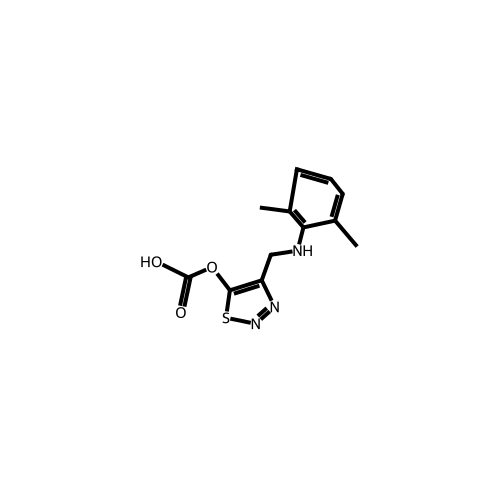 Cc1cccc(C)c1NCc1nnsc1OC(=O)O